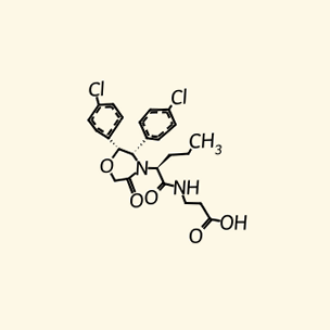 CCC[C@@H](C(=O)NCCC(=O)O)N1C(=O)CO[C@H](c2ccc(Cl)cc2)[C@@H]1c1ccc(Cl)cc1